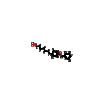 BrCCCCCCCc1ccc(OCc2ccccc2)cc1